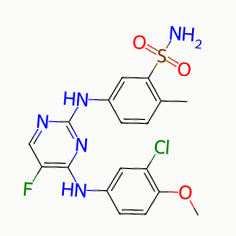 COc1ccc(Nc2nc(Nc3ccc(C)c(S(N)(=O)=O)c3)ncc2F)cc1Cl